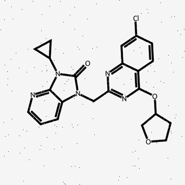 O=c1n(Cc2nc(OC3CCOC3)c3ccc(Cl)cc3n2)c2cccnc2n1C1CC1